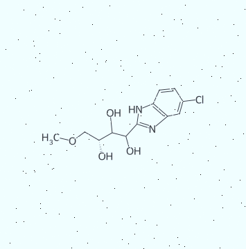 COC[C@@H](O)C(O)C(O)c1nc2cc(Cl)ccc2[nH]1